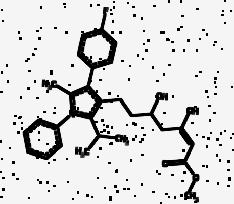 COC(=O)/C=C(/O)CC(O)CCc1c(-c2ccc(F)cc2)c(C)n(-c2ccccc2)c1C(C)C